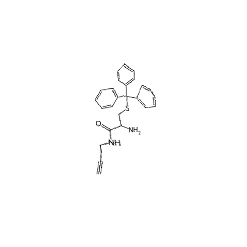 C#CCNC(=O)C(N)CSC(c1ccccc1)(c1ccccc1)c1ccccc1